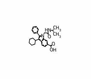 CC(C)NC(=O)Cn1c(-c2ccccc2)c(C2CCCCC2)c2ccc(C(=O)O)cc21